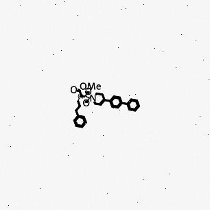 COC(=O)[C@@H](CCCc1ccccc1)S(=O)(=O)N1CC=C(c2ccc(-c3ccccc3)cc2)CC1